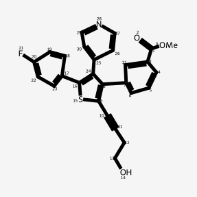 COC(=O)c1cccc(-c2c(C#CCCO)sc(-c3ccc(F)cc3)c2-c2ccncc2)c1